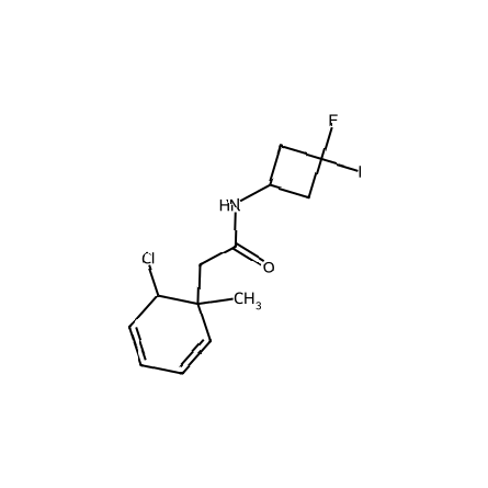 CC1(CC(=O)NC2CC(F)(I)C2)C=CC=CC1Cl